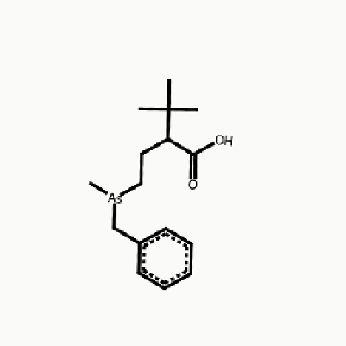 C[As](CCC(C(=O)O)C(C)(C)C)Cc1ccccc1